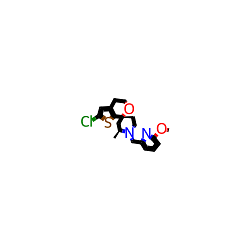 COc1cccc(CN2CC[C@]3(C[C@@H]2C)OCCc2cc(Cl)sc23)n1